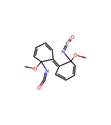 COC1(N=C=O)C=CC=C/C1=C1/C=CC=CC1(N=C=O)OC